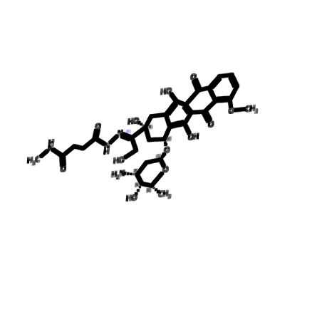 CNC(=O)CCC(=O)N/N=C(\CO)[C@@]1(O)Cc2c(O)c3c(c(O)c2[C@H](O[C@@H]2C[C@@H](N)[C@@H](O)[C@@H](C)O2)C1)C(=O)c1c(OC)cccc1C3=O